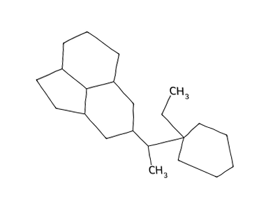 CCC1(C(C)C2CC3CCCC4CCC(C2)C43)CCCCC1